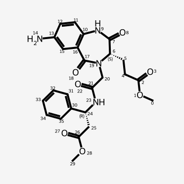 COC(=O)CC[C@H]1C(=O)Nc2ccc(N)cc2C(=O)N1CC(=O)N[C@H](CC(=O)OC)c1ccccc1